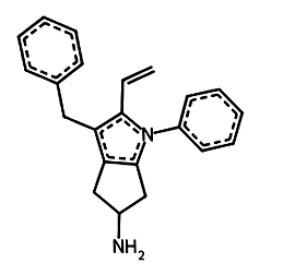 C=Cc1c(Cc2ccccc2)c2c(n1-c1ccccc1)CC(N)C2